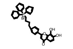 O=c1cc(-c2ccc(CCCCP(Br)(c3ccccc3)(c3ccccc3)c3ccccc3)cc2)oc2c(O)c(O)ccc12